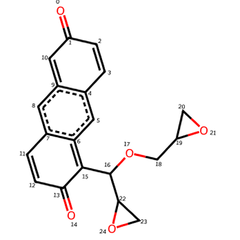 O=C1C=Cc2cc3c(cc2=C1)C=CC(=O)C=3C(OCC1CO1)C1CO1